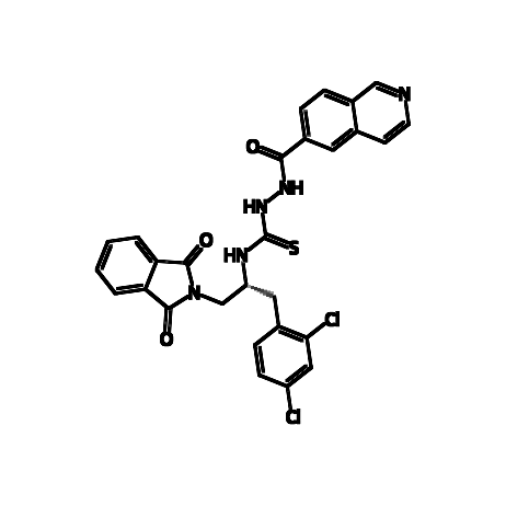 O=C(NNC(=S)N[C@H](Cc1ccc(Cl)cc1Cl)CN1C(=O)c2ccccc2C1=O)c1ccc2cnccc2c1